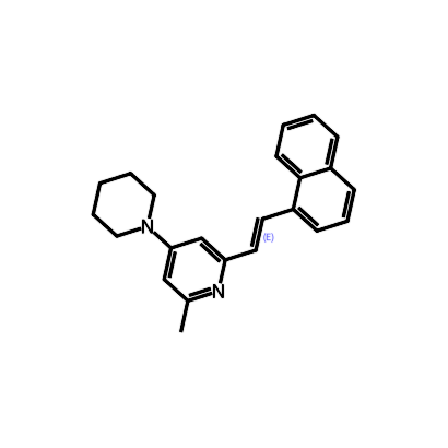 Cc1cc(N2CCCCC2)cc(/C=C/c2cccc3ccccc23)n1